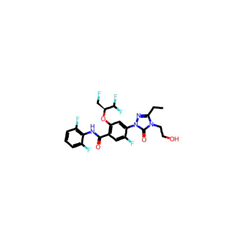 CCc1nn(-c2cc(O[C@@H](CF)C(F)F)c(C(=O)Nc3c(F)cccc3F)cc2F)c(=O)n1CCO